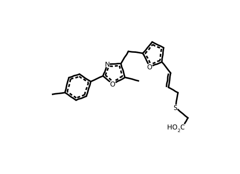 Cc1ccc(-c2nc(Cc3ccc(C=CCSCC(=O)O)o3)c(C)o2)cc1